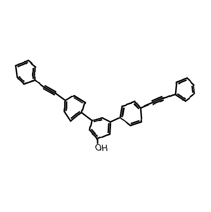 Oc1cc(-c2ccc(C#Cc3ccccc3)cc2)cc(-c2ccc(C#Cc3ccccc3)cc2)c1